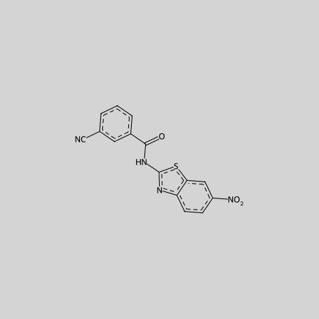 N#Cc1cccc(C(=O)Nc2nc3ccc([N+](=O)[O-])cc3s2)c1